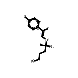 CCC(C)(CCCC(C)C)O/C=C(\C)c1ccc(C)cc1